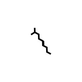 CCCC=CCCC(C)C